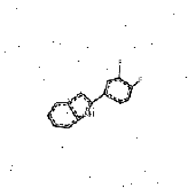 Fc1ccc(-c2cc3c[c]ccc3[nH]2)cc1F